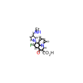 CCNCC1CCN(c2c(F)cc3c(=O)c(C(=O)O)cn(C4CC4)c3c2C2CC2)C1